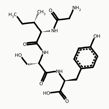 CC[C@H](C)[C@H](NC(=O)CN)C(=O)N[C@@H](CO)C(=O)N[C@@H](Cc1ccc(O)cc1)C(=O)O